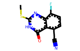 CSc1nc2c(F)ccc(C#N)c2c(=O)[nH]1